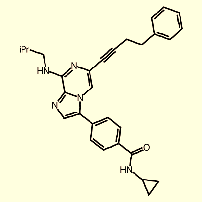 CC(C)CNc1nc(C#CCCc2ccccc2)cn2c(-c3ccc(C(=O)NC4CC4)cc3)cnc12